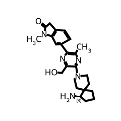 Cc1nc(N2CCC3(CCC[C@H]3N)CC2)c(CO)nc1-c1ccc2c(c1)N(C)C(=O)C2